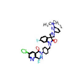 CN(C)c1cccc(N2CC3(C2)C(=O)N(CC2CCC(NC(=O)c4cc(Cl)cnc4C(F)F)CC2)c2cc(F)ccc23)n1